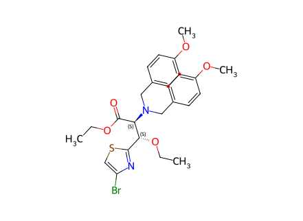 CCOC(=O)[C@H]([C@H](OCC)c1nc(Br)cs1)N(Cc1ccc(OC)cc1)Cc1ccc(OC)cc1